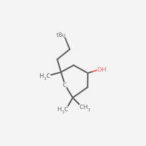 CC(C)(C)CCC1(C)CC(O)CC(C)(C)C1